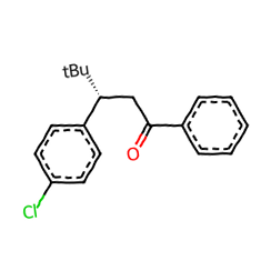 CC(C)(C)[C@H](CC(=O)c1ccccc1)c1ccc(Cl)cc1